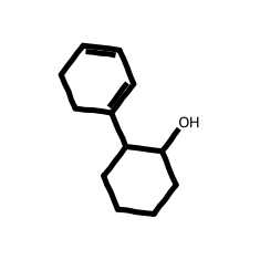 OC1CCCCC1C1=CC=CCC1